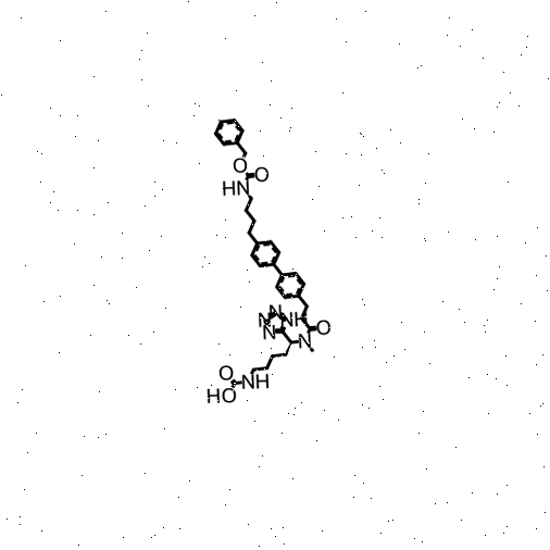 CN(C(=O)CCc1ccc(-c2ccc(CCCCNC(=O)OCc3ccccc3)cc2)cc1)[C@@H](CCCCNC(=O)O)c1nnn[nH]1